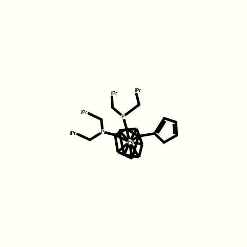 CC(C)CP(CC(C)C)[C]12[CH]3[CH]4[C]5(C6=CC=CC6)[C]1(P(CC(C)C)CC(C)C)[Fe]43521678[CH]2[CH]1[CH]6[CH]7[CH]28